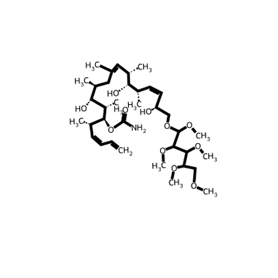 C=C/C=C\[C@H](C)[C@H](OC(N)=O)[C@@H](C)[C@H](O)[C@@H](C)C/C(C)=C\[C@H](C)[C@@H](O)[C@@H](C)/C=C\[C@@H](O)COC(OC)C(OC)C(OC)C(COC)OC